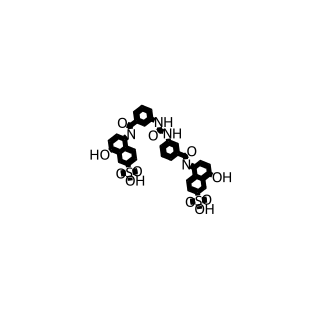 O=C(Nc1cccc(C(=O)N=C2C=CC(O)=C3CC(S(=O)(=O)O)=CC=C23)c1)Nc1cccc(C(=O)N=C2C=CC(O)=C3CC(S(=O)(=O)O)=CC=C23)c1